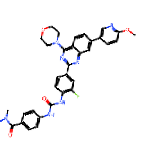 COc1ccc(-c2ccc3c(N4CCOCC4)nc(-c4ccc(NC(=O)Nc5ccc(C(=O)N(C)C)cc5)c(F)c4)nc3c2)cn1